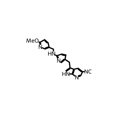 [C-]#[N+]c1cnc2[nH]cc(Cc3ccc(NCc4ccc(OC)nc4)nc3)c2c1